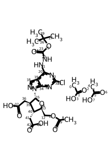 CC(=O)O.CC(=O)O.CC(=O)OC[C@@H]1O[C@@H](n2ncc3c(NNC(=O)OC(C)(C)C)nc(Cl)nc32)[C@H](CC(=O)O)[C@H]1CC(=O)O